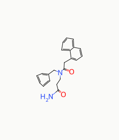 NC(=O)CCN(Cc1ccccc1)C(=O)Cc1cccc2ccccc12